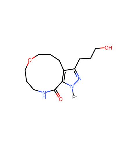 CCn1nc(CCCO)c2c1C(=O)NCCCOCCC2